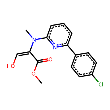 COC(=O)/C(=C\O)N(C)c1cccc(-c2ccc(Cl)cc2)n1